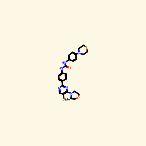 COc1cnc(-c2ccc(NC(=O)Nc3ccc(N4CCSCC4)cc3)cc2)nc1N1CCOCC1